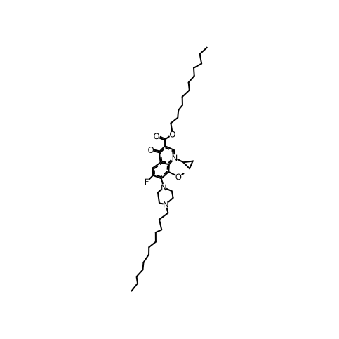 CCCCCCCCCCCCOC(=O)c1cn(C2CC2)c2c(OC)c(N3CCN(CCCCCCCCCCCC)CC3)c(F)cc2c1=O